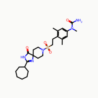 Cc1cc(N(C)C(N)=O)cc(C)c1CCS(=O)(=O)N1CCC2(CC1)N=C(C1CCCCCC1)NC2=O